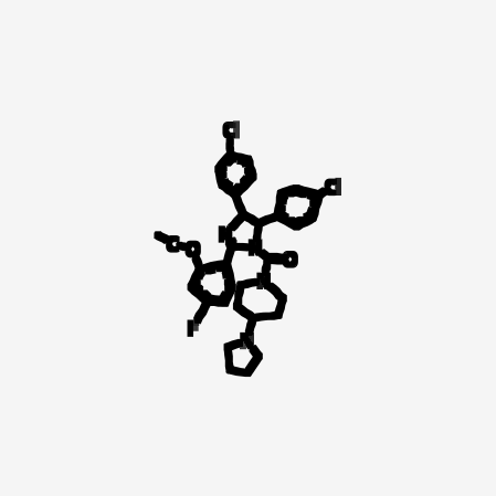 CCOc1cc(F)ccc1C1=NC(c2ccc(Cl)cc2)C(c2ccc(Cl)cc2)N1C(=O)N1CCC(N2CCCC2)CC1